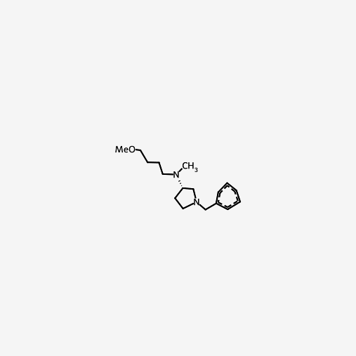 COCCCCN(C)[C@H]1CCN(Cc2ccccc2)C1